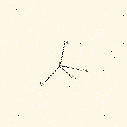 CCCCCCCCCCCCCCCCCCC[PH](CCCCCCCCCCCC)(CCCCCCCCCCCCCCCCCCC)CCCCCCCCCCCCCCCCCCC